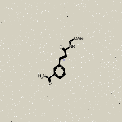 COCNC(=O)/C=C/c1cccc(C(N)=O)c1